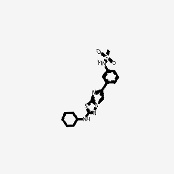 CS(=O)(=O)Nc1cccc(-c2cn3nc(NC4CCCCC4)sc3n2)c1